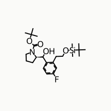 CC(C)(C)OC(=O)N1CCC[C@@H]1C(O)c1ccc(F)cc1CCO[Si](C)(C)C(C)(C)C